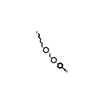 N#Cc1ccc([C@H]2CC[C@H](CC[C@H]3CC[C@H](CCCC/C=C/F)CC3)CC2)cc1